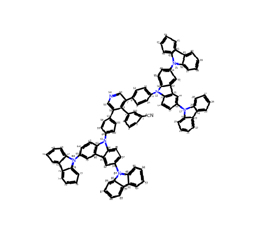 N#Cc1cccc(-c2c(-c3ccc(-n4c5ccc(-n6c7ccccc7c7ccccc76)cc5c5cc(-n6c7ccccc7c7ccccc76)ccc54)cc3)cncc2-c2ccc(-n3c4ccc(-n5c6ccccc6c6ccccc65)cc4c4cc(-n5c6ccccc6c6ccccc65)ccc43)cc2)c1